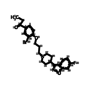 CCC(=O)c1ccc(OCCCN2CCC(c3noc4cc(F)ccc34)CC2)c(Br)c1